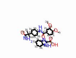 COc1ccc(C(=O)Nc2ccc(C(C)(C)C(N)=O)cc2)cc1OC.O=C(O)c1nc2ccccc2[nH]1